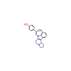 C/C(=C\n1c2c(c3ccccc31)C1CCCN1CC2)c1ccc(O)cc1